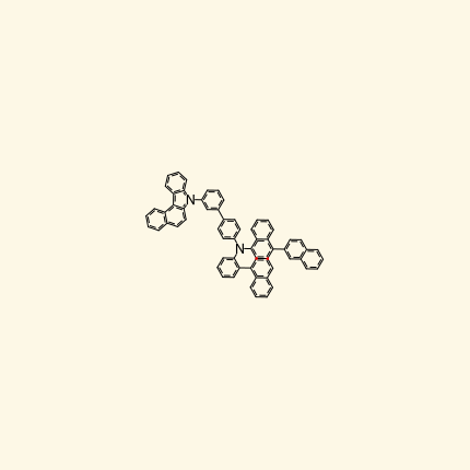 c1cc(-c2ccc(N(c3ccccc3-c3cccc4ccccc34)c3ccc(-c4ccc5ccccc5c4)c4ccccc34)cc2)cc(-n2c3ccccc3c3c4ccccc4ccc32)c1